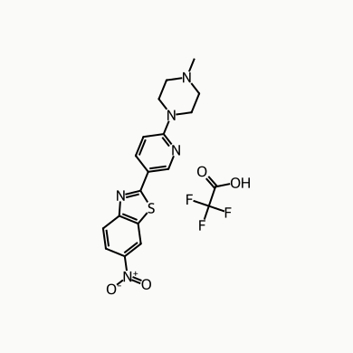 CN1CCN(c2ccc(-c3nc4ccc([N+](=O)[O-])cc4s3)cn2)CC1.O=C(O)C(F)(F)F